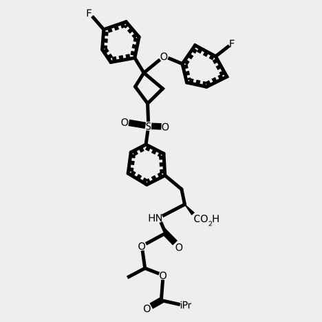 CC(OC(=O)N[C@@H](Cc1cccc(S(=O)(=O)C2CC(Oc3cccc(F)c3)(c3ccc(F)cc3)C2)c1)C(=O)O)OC(=O)C(C)C